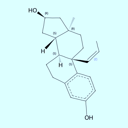 C/C=C\[C@]12CC[C@]3(C)C[C@H](O)C[C@H]3[C@@H]1CCc1cc(O)ccc12